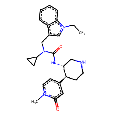 Cn1ccc([C@@H]2CCNC[C@H]2NC(=O)N(Cc2cn(CC(F)(F)F)c3ccccc23)C2CC2)cc1=O